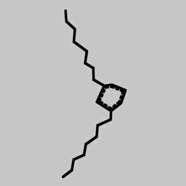 CCCCCCCCc1cccc(CCCCCCCC)c1